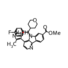 COC(=O)c1ccc2c3nccc(-c4c(C)nnn4C)c3n(C(c3ccc(F)cc3)C3CCOCC3)c2c1